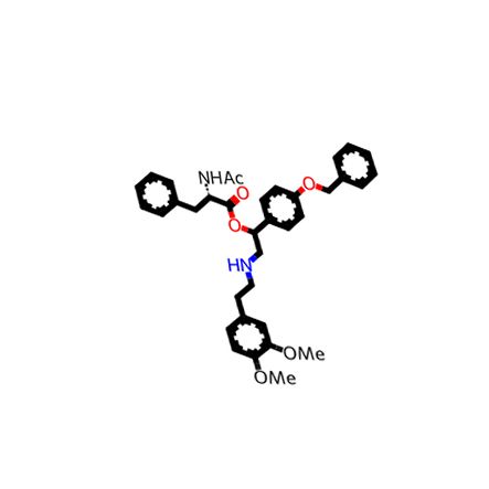 COc1ccc(CCNCC(OC(=O)[C@H](Cc2ccccc2)NC(C)=O)c2ccc(OCc3ccccc3)cc2)cc1OC